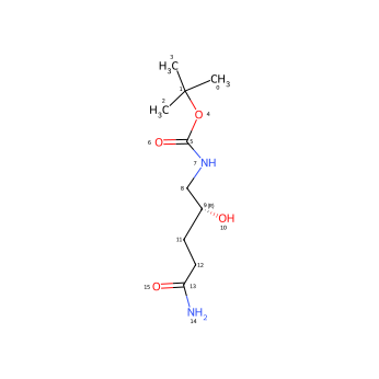 CC(C)(C)OC(=O)NC[C@H](O)CCC(N)=O